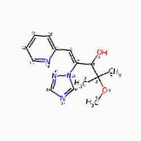 COC(C)(C)C(O)C(=Cc1ccccn1)n1cncn1